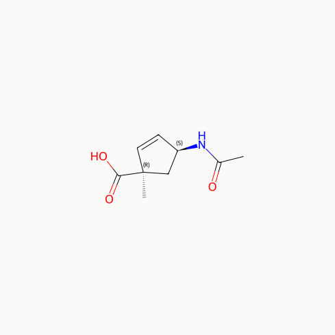 CC(=O)N[C@@H]1C=C[C@](C)(C(=O)O)C1